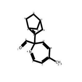 CC1=CC=NC(C=O)(C2=C3CCC(C3)C2)C=C1